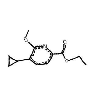 CCOC(=O)c1ccc(C2CC2)c(OC)n1